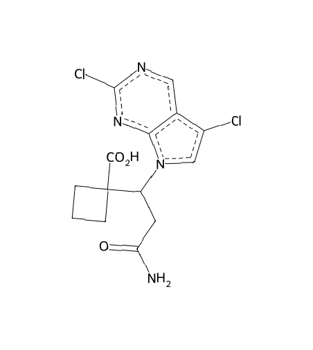 NC(=O)CC(n1cc(Cl)c2cnc(Cl)nc21)C1(C(=O)O)CCC1